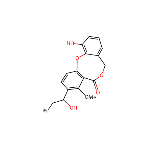 COc1c(C(O)CC(C)C)ccc2c1C(=O)OCc1cccc(O)c1O2